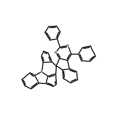 c1ccc(-c2nc(-c3ccccc3)c3c(n2)C2(c4ccccc4-3)c3ccccc3-n3c4ccccc4c4cccc2c43)cc1